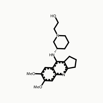 COc1cc2nc3c(c(N[C@H]4CCCN(CCO)C4)c2cc1OC)CCC3